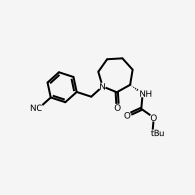 CC(C)(C)OC(=O)N[C@H]1CCCCN(Cc2cccc(C#N)c2)C1=O